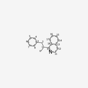 CC(Cc1ccccc1)c1nccc2ccccc12